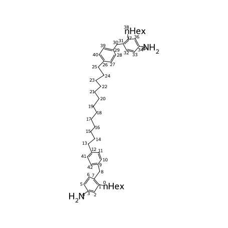 CCCCCCc1cc(N)ccc1Cc1ccc(CCCCCCCCCCCCCc2ccc(Cc3ccc(N)cc3CCCCCC)cc2)cc1